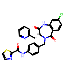 O=C(Nc1ccc(CN2C(=O)c3ccc(Cl)cc3NC(=O)[C@H]2Cc2ccccn2)cc1)c1nccs1